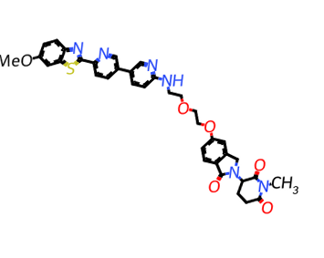 COc1ccc2nc(-c3ccc(-c4ccc(NCCOCCOc5ccc6c(c5)CN(C5CCC(=O)N(C)C5=O)C6=O)nc4)cn3)sc2c1